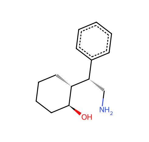 NC[C@@H](c1ccccc1)[C@H]1CCCC[C@@H]1O